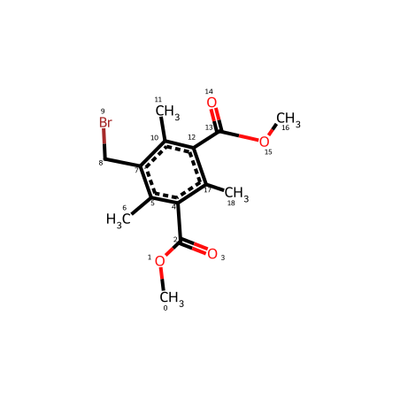 COC(=O)c1c(C)c(CBr)c(C)c(C(=O)OC)c1C